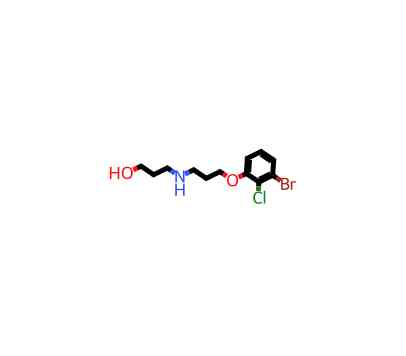 OCCCNCCCOc1cccc(Br)c1Cl